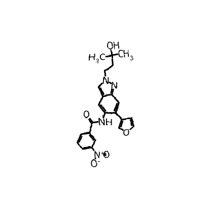 CC(C)(O)CCn1cc2cc(NC(=O)c3cccc([N+](=O)[O-])c3)c(-c3ccoc3)cc2n1